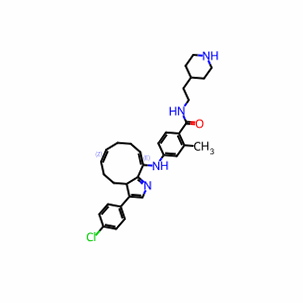 Cc1cc(N/C2=C/CC/C=C\CCC3C(c4ccc(Cl)cc4)=CN=C23)ccc1C(=O)NCCC1CCNCC1